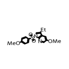 CCc1cn(S(=O)(=O)c2ccc(OC)cc2)c2ncc(OC)cc12